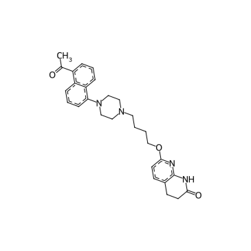 CC(=O)c1cccc2c(N3CCN(CCCCOc4ccc5c(n4)NC(=O)CC5)CC3)cccc12